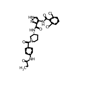 C=CC(=O)Nc1ccc(C(=O)N2CCC[C@@H](NC(=O)c3n[nH]cc3NC(=O)c3c(Cl)cccc3Cl)C2)cc1